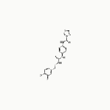 O=C(Nc1ccc(NC(=S)NCCc2ccc(Cl)c(F)c2)cc1)c1cscn1